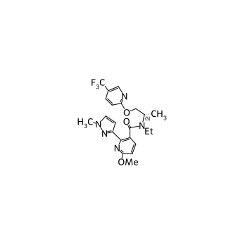 CCN(C(=O)c1ccc(OC)nc1-c1ccn(C)n1)[C@@H](C)COc1ccc(C(F)(F)F)cn1